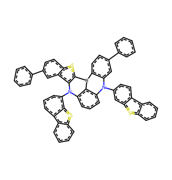 c1ccc(-c2ccc3c(c2)N(c2ccc4c(c2)sc2ccccc24)c2cccc4c2B3c2sc3ccc(-c5ccccc5)cc3c2N4c2cccc3c2sc2ccccc23)cc1